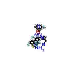 N#CCC1CCN(c2nc(OC[C@@]34CCCN3C[C@H](F)C4)nc3c(F)c(-c4ccc(F)c5sc(N)nc45)c(C(F)(F)F)cc23)C1